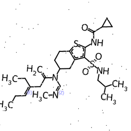 C=C(C/C(=C/CC)CC)N(/C=N\C)C1CCc2sc(NC(=O)C3CC3)c(S(=O)(=O)NCC(C)C)c2C1